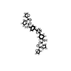 O=C(Nc1ccc(-c2nnc(-c3ccc(NC(=O)[C@@H]4CCCN4C(=O)[C@H]4CCCO4)cc3)o2)cc1)[C@@H]1CCCN1C(=O)[C@H]1CCCO1